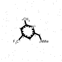 CNCc1cc(C(F)(F)F)cc(C)n1